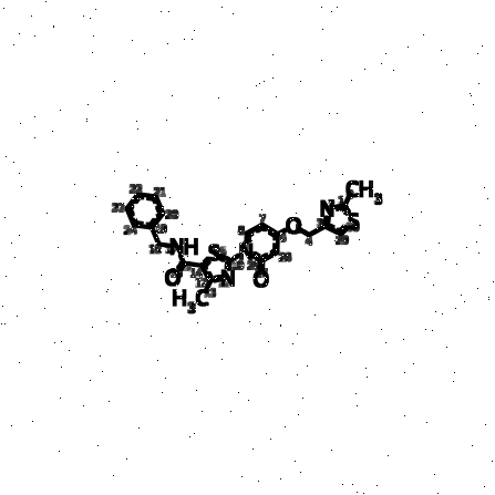 Cc1nc(COc2ccn(-c3nc(C)c(C(=O)NCc4ccccc4)s3)c(=O)c2)cs1